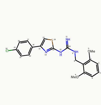 COc1cccc(OC)c1CNC(=N)Nc1nc(-c2ccc(Cl)cc2)cs1